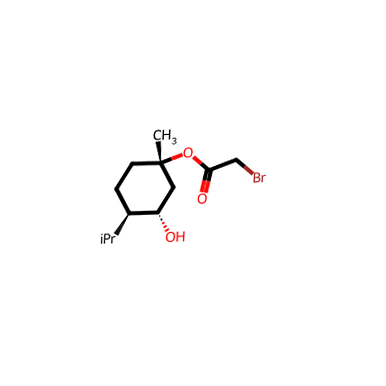 CC(C)[C@H]1CC[C@](C)(OC(=O)CBr)C[C@@H]1O